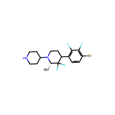 CC(C)(C)[C@@H]1N(C2CCNCC2)CCC(c2ccc(Br)c(F)c2F)C1(F)F